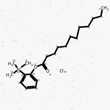 CCCCCCCCCCCC(=O)Oc1ccccc1[N+](C)(C)C.[Cl-]